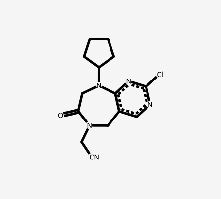 N#CCN1Cc2cnc(Cl)nc2N(C2CCCC2)CC1=O